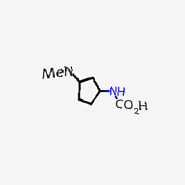 CNC1CCC(NC(=O)O)C1